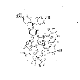 CC(C)(C)c1ccc(N(c2ccc(C(C)(C)C)cc2)c2ccc3c4c5oc6ccccc6c5c5c6c4n(c3c2)-c2cc3c(cc2[SH]6N(c2ccc(C(C)(C)C)cc2)c2cc4c(cc2-5)C(C)(C)CCC4(C)C)C(C)(C)CCC3(C)C)cc1